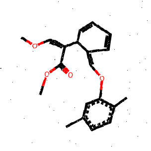 COC=C(C(=O)OC)C1C=CC=CC1=COc1cc(C)ccc1C